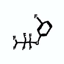 Fc1cccc(OC(F)(F)C(F)(F)C(F)F)c1